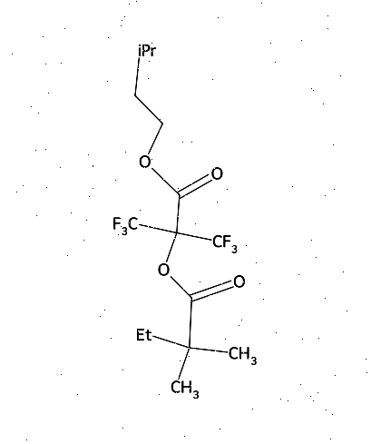 CCC(C)(C)C(=O)OC(C(=O)OCCC(C)C)(C(F)(F)F)C(F)(F)F